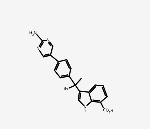 CC(C)C(C)(c1ccc(-c2cnc(N)nc2)cc1)c1c[nH]c2c(C(=O)O)cccc12